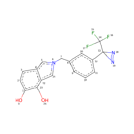 Oc1ccc2cn(Cc3cccc(C4(C(F)(F)F)N=N4)c3)cc2c1O